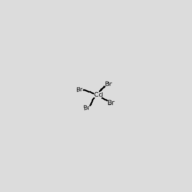 [Br][Cd]([Br])([Br])[Br]